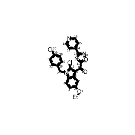 CCOc1ccc2c(c1)c(C(=O)c1nc(-c3ccncc3)no1)c(Cl)n2Cc1ccc(Cl)cc1